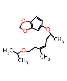 CC(=CCC(C)Oc1ccc2c(c1)OCO2)CCOC(C)C